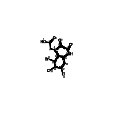 O=C(O)Cn1c(=O)c(=O)[nH]c2cc(Cl)c(Cl)c(Br)c21